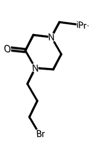 C[C](C)CN1CCN(CCCBr)C(=O)C1